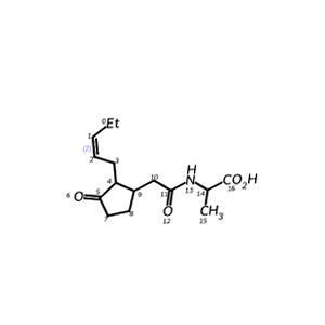 CC/C=C\CC1C(=O)CCC1CC(=O)NC(C)C(=O)O